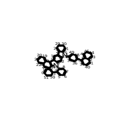 c1ccc(-c2ccccc2-n2c3cc4c(cc3c3c5ccccc5ccc32)c2ccccc2n4-c2ccc(-c3cccc4ccccc34)cc2)cc1